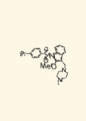 COc1c(CN2CCN(C)CC2)c2ccccc2n1S(=O)(=O)c1ccc(C(C)C)cc1